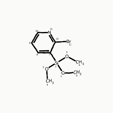 CO[Si](OC)(OC)c1cccnc1Br